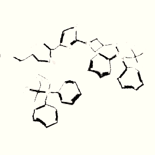 CC[C@H](C)[C@@H](CO[Si](c1ccccc1)(c1ccccc1)C(C)(C)C)NC(=O)c1csc(N2CC(O[Si](c3ccccc3)(c3ccccc3)C(C)(C)C)C2)n1